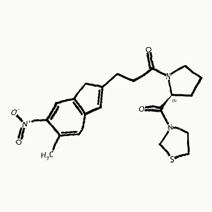 Cc1cc2c(cc1[N+](=O)[O-])CC(CCC(=O)N1CCC[C@H]1C(=O)N1CCSC1)=C2